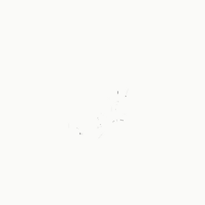 CC[C@]12C[C@H](O)CC=C1CC[C@@H]1[C@@H]2CC[C@]2(C)C(=O)CC[C@@H]12